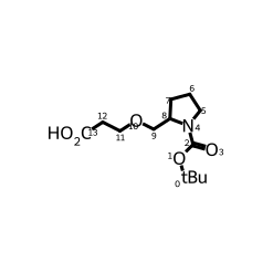 CC(C)(C)OC(=O)N1CCCC1COCCC(=O)O